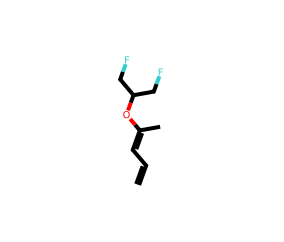 C=C/C=C(\C)OC(CF)CF